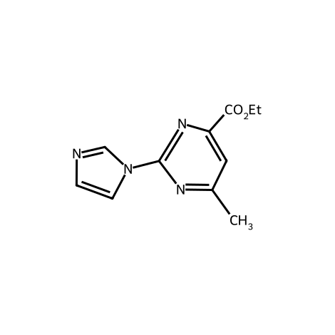 CCOC(=O)c1cc(C)nc(-n2ccnc2)n1